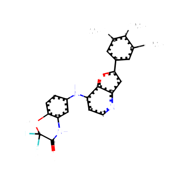 COc1cc(-c2cc3nccc(Nc4ccc5c(c4)NC(=O)C(F)(F)O5)c3o2)cc(OC)c1OC